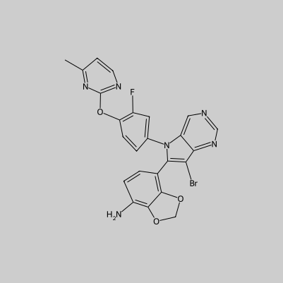 Cc1ccnc(Oc2ccc(-n3c(-c4ccc(N)c5c4OCO5)c(Br)c4ncncc43)cc2F)n1